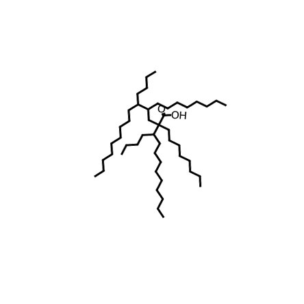 CCCCCCCCCC(CCCC)C(CCCCCCCC)CC(CCCCCCCC)(C(=O)O)C(CCCC)CCCCCCCCC